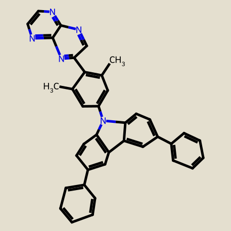 Cc1cc(-n2c3ccc(-c4ccccc4)cc3c3cc(-c4ccccc4)ccc32)cc(C)c1-c1cnc2nccnc2n1